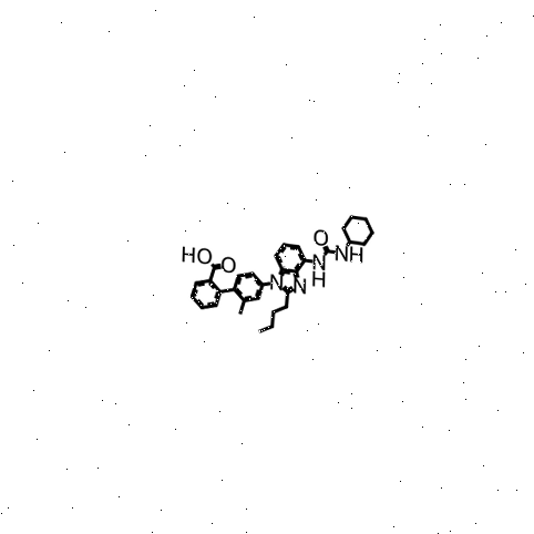 CCCCc1nc2c(NC(=O)NC3CCCCC3)cccc2n1-c1ccc(-c2ccccc2C(=O)O)c(C)c1